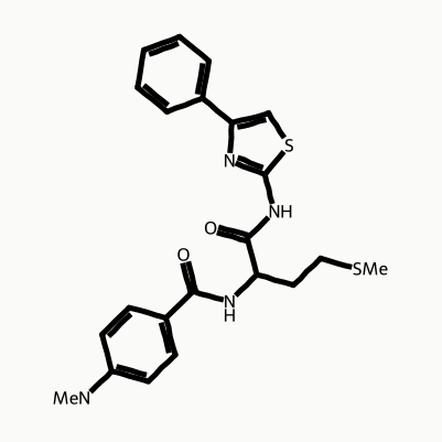 CNc1ccc(C(=O)NC(CCSC)C(=O)Nc2nc(-c3ccccc3)cs2)cc1